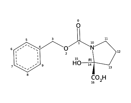 O=C(OCc1ccccc1)N1CCC[C@@]1(O)C(=O)O